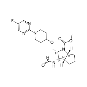 COC(=O)N1[C@@H]2CCC[C@@H]2[C@H](N[SH]=O)[C@@H]1COC1CCN(c2ncc(F)cn2)CC1